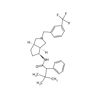 CC(C)(C)C(C(=O)N[C@H]1CC[C@H]2CN(Cc3cccc(C(F)(F)F)c3)C[C@H]21)c1ccccc1